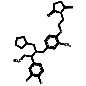 Cc1cc(CN(CC2CCCC2)C(CC(=O)O)c2ccc(Cl)c(F)c2)ccc1OCCN1C(=O)CCC1=O